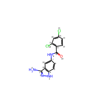 Nc1n[nH]c2ccc(NC(=O)c3ccc(Cl)cc3Cl)cc12